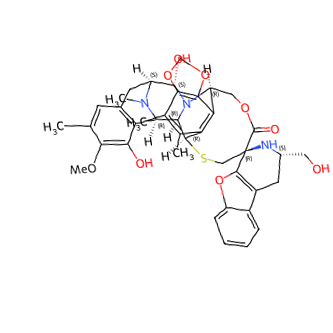 COc1c(C)cc2c(c1O)[C@@H]1[C@@H]3[C@@H]4SC[C@]5(N[C@H](CO)Cc6c5oc5ccccc65)C(=O)OC[C@@H](c5c6c(c(C)c(C)c54)OCO6)N3[C@@H](O)[C@H](C2)N1C